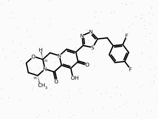 C[C@@H]1CCO[C@H]2Cn3cc(-c4nnc(Cc5ccc(F)cc5F)s4)c(=O)c(O)c3C(=O)N12